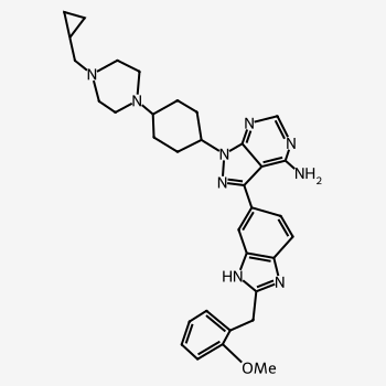 COc1ccccc1Cc1nc2ccc(-c3nn(C4CCC(N5CCN(CC6CC6)CC5)CC4)c4ncnc(N)c34)cc2[nH]1